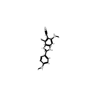 COc1ccc(-c2nc3c(C)c(C#N)c(OC)cc3s2)cc1